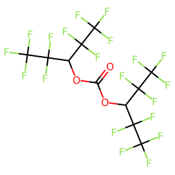 O=C(OC(C(F)(F)C(F)(F)F)C(F)(F)C(F)(F)F)OC(C(F)(F)C(F)(F)F)C(F)(F)C(F)(F)F